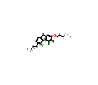 CCCCOc1cc2c(c(F)c1F)-c1c(ccc(CCC)c1F)C2